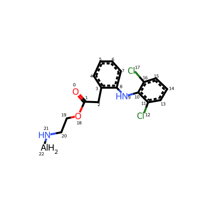 O=C(Cc1ccccc1Nc1c(Cl)cccc1Cl)OCC[NH][AlH2]